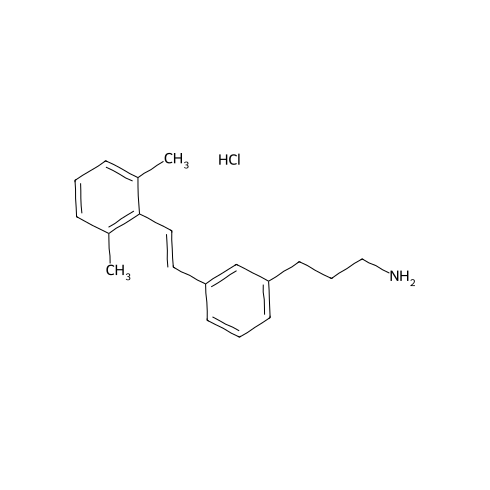 Cc1cccc(C)c1/C=C/c1cccc(CCCN)c1.Cl